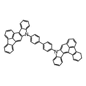 C1=CC2=C(CC1)c1cccc3cc4c(c2c13)c1ccccc1n4-c1ccc(-c2ccc(-n3c4ccccc4c4c5cccc6c5c(cc43)-c3ccccc3-6)cc2)cc1